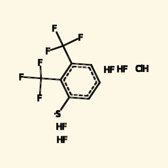 Cl.F.F.F.F.FC(F)(F)c1cccc([S])c1C(F)(F)F